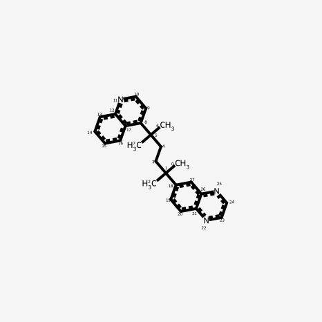 CC(C)(CCC(C)(C)c1ccnc2ccccc12)c1ccc2nccnc2c1